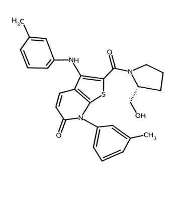 Cc1cccc(Nc2c(C(=O)N3CCC[C@@H]3CO)sc3c2ccc(=O)n3-c2cccc(C)c2)c1